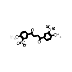 Cc1ccc(C(=O)CCC(=O)c2ccc(C)c([N+](=O)[O-])c2)cc1[N+](=O)[O-]